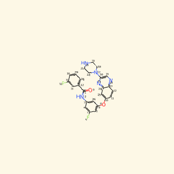 O=C(Nc1cc(F)cc(Oc2ccc3ncc(N4CCNCC4)nc3c2)c1)c1cccc(F)c1